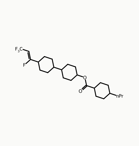 CCCC1CCC(C(=O)OC2CCC(C3CCC(/C(F)=C/C(F)(F)F)CC3)CC2)CC1